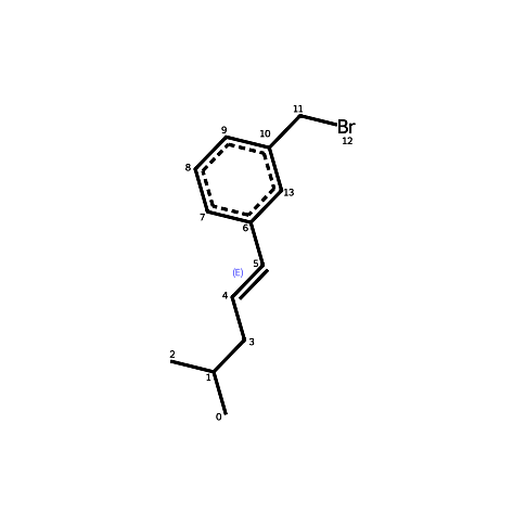 CC(C)C/C=C/c1cccc(CBr)c1